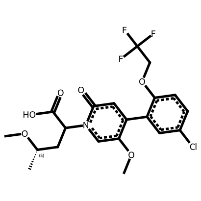 COc1cn(C(C[C@H](C)OC)C(=O)O)c(=O)cc1-c1cc(Cl)ccc1OCC(F)(F)F